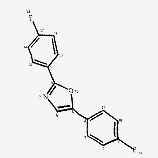 Fc1ccc(-c2cnc(-c3ccc(F)cc3)o2)cc1